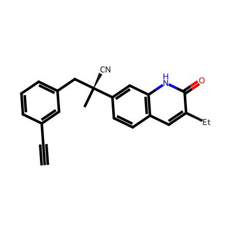 C#Cc1cccc(C[C@](C)(C#N)c2ccc3cc(CC)c(=O)[nH]c3c2)c1